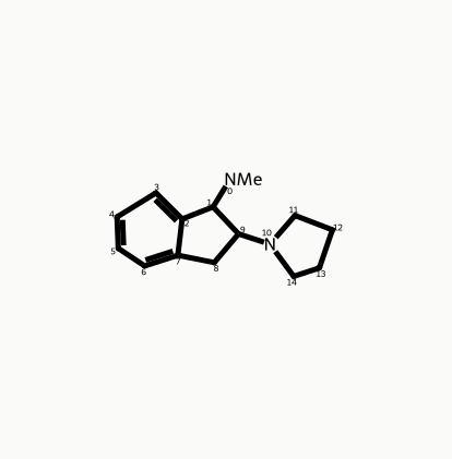 CNC1c2ccccc2CC1N1CCCC1